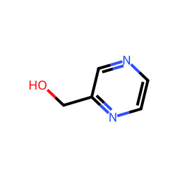 OCc1cnccn1